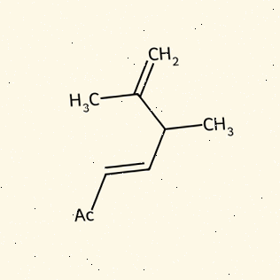 C=C(C)C(C)C=CC(C)=O